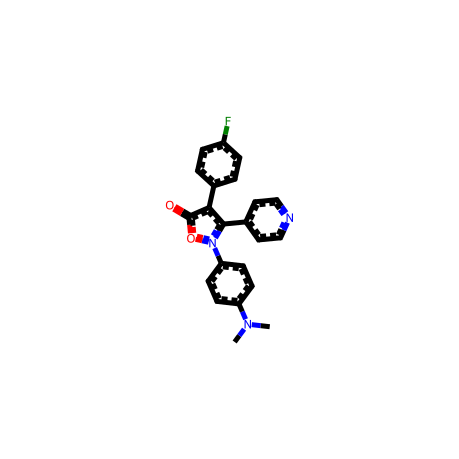 CN(C)c1ccc(-n2oc(=O)c(-c3ccc(F)cc3)c2-c2ccncc2)cc1